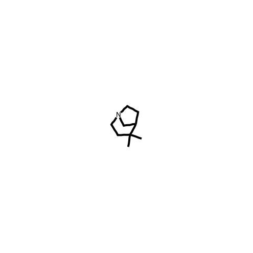 CC1(C)CCN2CCC1C2